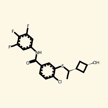 CC(Sc1cc(C(=O)Nc2cc(F)c(F)c(F)c2)ccc1Cl)[C@H]1C[C@@H](O)C1